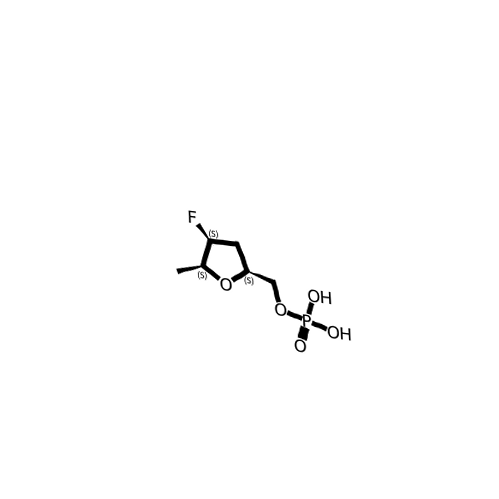 C[C@@H]1O[C@H](COP(=O)(O)O)C[C@@H]1F